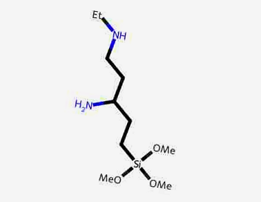 CCNCCC(N)CC[Si](OC)(OC)OC